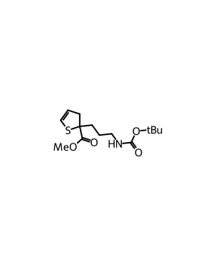 COC(=O)C1(CCCNC(=O)OC(C)(C)C)CC=CS1